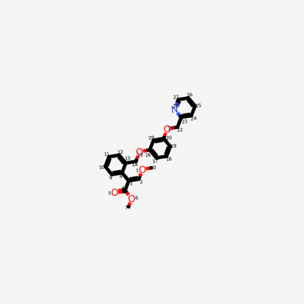 CO/C=C(/C(=O)OC)c1ccccc1COc1cccc(OCc2ccccn2)c1